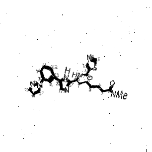 CNC(=O)CCCCC[C@H](NC(=O)c1cncs1)c1ncc(-c2cccc(-n3cccn3)c2)[nH]1